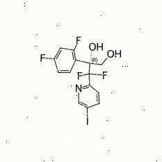 OC[C@](O)(c1ccc(F)cc1F)C(F)(F)c1ccc(I)cn1